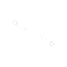 CC(C)(CCCC(=O)OCCCCCCOC(=O)CCCC(C)(C)c1ccccc1)c1ccccc1